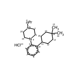 CCCN1CCN(c2ccccc2C2CCC(C)(C)CC2)CC1.Cl